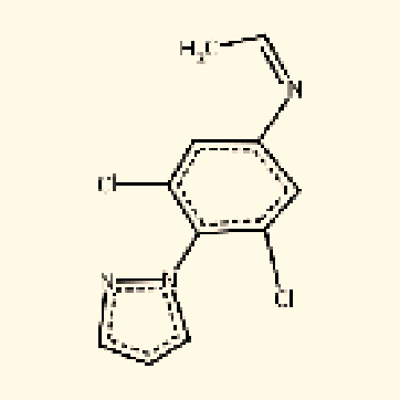 C/C=N\c1cc(Cl)c(-n2cccn2)c(Cl)c1